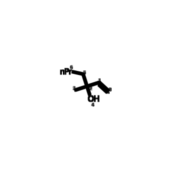 [CH]=CC(C)(O)CCCC